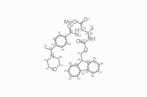 COC(=O)[C@@H](NC(=O)c1ccc(C(C)N2CCOCC2)cc1)[C@@H](C)NC(=O)OCC1c2ccccc2-c2ccccc21